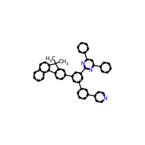 CC1(C)c2cc(-c3cc(-c4cccc(-c5ccncc5)c4)cc(-c4nc(-c5ccccc5)cc(-c5ccccc5)n4)c3)ccc2-c2c1ccc1ccccc21